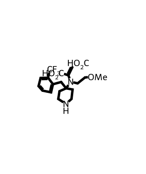 COCCN(/C(=C/C(=O)O)C(=O)O)C1(Cc2ccccc2C(F)(F)F)CCNCC1